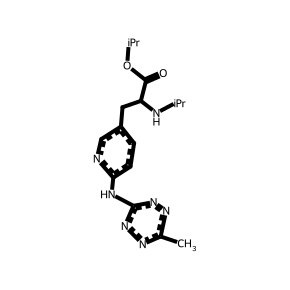 Cc1nnc(Nc2ccc(CC(NC(C)C)C(=O)OC(C)C)cn2)nn1